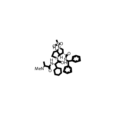 CN[C@@H](C)C(=O)N[C@H](C(=O)N1CC[C@@H]2[C@H]1[C@@H](C(=O)NC(c1ccccc1)c1ccccc1)CN2S(C)(=O)=O)C1CCCCC1